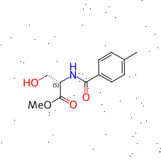 COC(=O)[C@H](CO)NC(=O)c1ccc(C)cc1